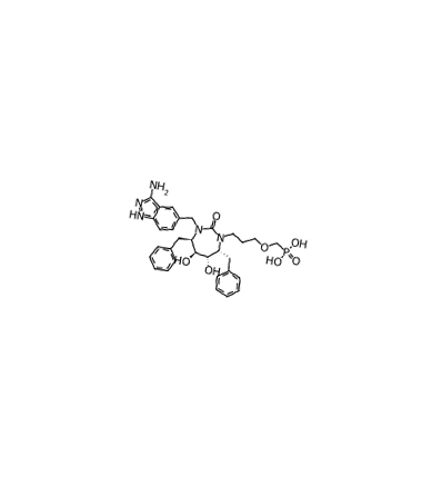 Nc1n[nH]c2ccc(CN3C(=O)N(CCCOCP(=O)(O)O)[C@H](Cc4ccccc4)[C@H](O)[C@@H](O)[C@H]3Cc3ccccc3)cc12